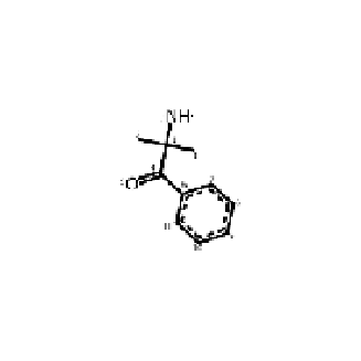 CC(C)([NH])C(=O)c1ccccc1